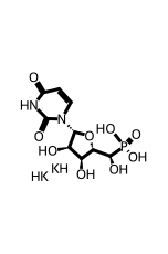 O=c1ccn([C@@H]2O[C@H]([C@H](O)P(=O)(O)O)[C@@H](O)[C@H]2O)c(=O)[nH]1.[KH].[KH]